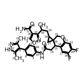 Cc1n[nH]c(C)c1-c1ccc(NC(=O)CC2c3cc(F)c(F)cc3OCC23CC3CC(C)c2nocc2C(N)=O)cc1